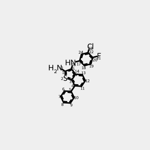 Nc1sc2c(-c3ccccc3)cccc2c1Nc1ccc(F)c(Cl)c1